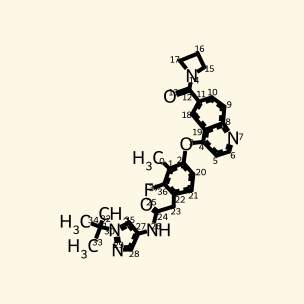 Cc1c(Oc2ccnc3ccc(C(=O)N4CCC4)cc23)ccc(CC(=O)Nc2cnn(C(C)(C)C)c2)c1F